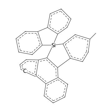 Cc1ccc2c(c1)[Si]1(c3ccccc3-c3ccccc31)c1c-2c2ccccc2c2ccccc12